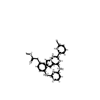 COC(=O)Cc1ccc(Nc2nccc(Nc3nc(-c4cccc(C)n4)nn4cccc34)n2)cc1